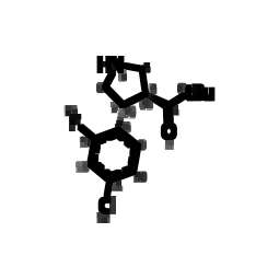 CC(C)(C)C(=O)[C@@H]1CNC[C@H]1c1ccc(Cl)cc1F